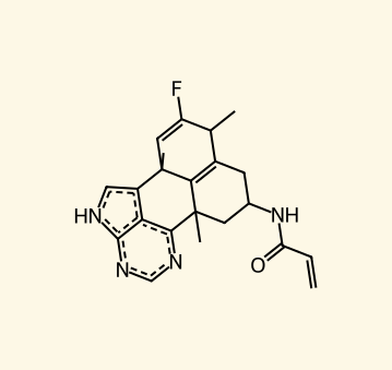 C=CC(=O)NC1CC2=C3C(C)(C=C(F)C2C)c2c[nH]c4ncnc(c24)C3(C)C1